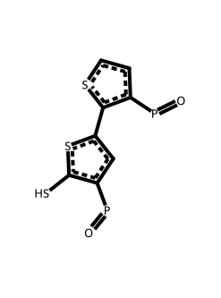 O=Pc1cc(-c2sccc2P=O)sc1S